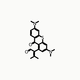 CC(C)=C(C=O)c1cc(N(C)C)cc2sc3cc(N(C)C)ccc3c(=O)c12